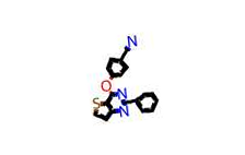 N#Cc1ccc(Oc2nc(-c3ccccc3)nc3ccsc23)cc1